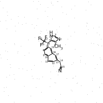 Cc1nc[nH]c1[C@@H](c1ccc2ccc(CC#N)cc2c1)C(F)(F)F